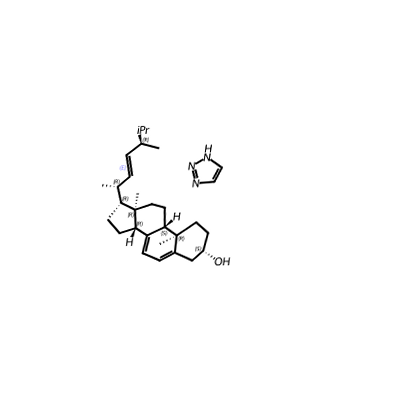 CC(C)[C@@H](C)/C=C/[C@@H](C)[C@H]1CC[C@H]2C3=CC=C4C[C@@H](O)CC[C@]4(C)[C@H]3CC[C@]12C.c1c[nH]nn1